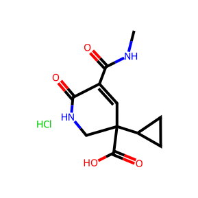 CNC(=O)C1=CC(C(=O)O)(C2CC2)CNC1=O.Cl